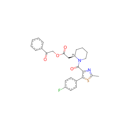 Cc1nc(C(=O)N2CCCC[C@@H]2CC(=O)OCC(=O)c2ccccc2)c(-c2ccc(F)cc2)s1